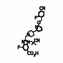 CC(C)(C#N)Cn1c(CN2CCC(c3cccc(OCc4ccc(C#N)cc4F)n3)CC2)nc2c(F)cc(C(=O)O)cc21